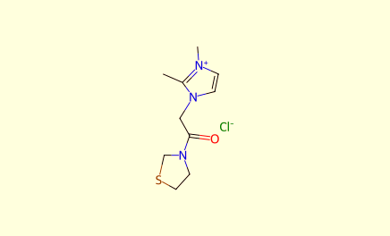 Cc1n(CC(=O)N2CCSC2)cc[n+]1C.[Cl-]